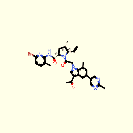 C=C[C@@H]1[C@@H](C)C[C@@H](C(=O)Nc2nc(Br)ccc2C)N1C(=O)Cn1cc(C(C)=O)c2cc(-c3cnc(C)nc3)cc(C)c21